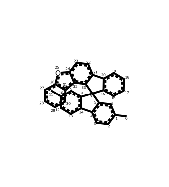 Cc1ccc2c(c1)C1(c3cc(C)ccc3-2)c2ccccc2-c2ccc3oc4ccccc4c3c21